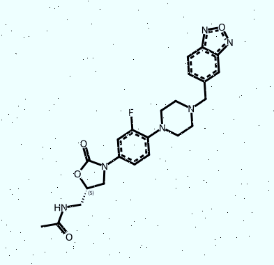 CC(=O)NC[C@H]1CN(c2ccc(N3CCN(Cc4ccc5nonc5c4)CC3)c(F)c2)C(=O)O1